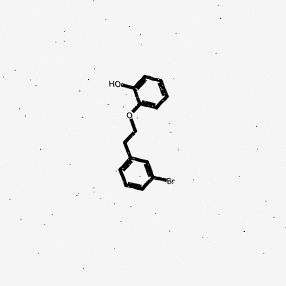 Oc1ccccc1OCCc1cccc(Br)c1